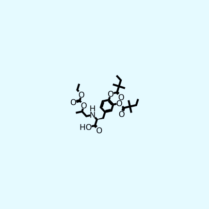 CCOC(=O)OC(C)CN[C@@H](Cc1ccc(OC(=O)C(C)(C)CC)c(OC(=O)C(C)(C)CC)c1)C(=O)O